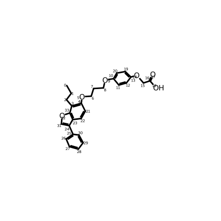 CCCc1c(OCCCOc2ccc(OCC(=O)O)cc2)ccc2c(-c3ccccc3)coc12